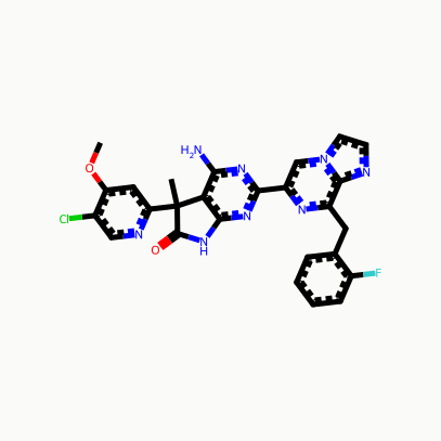 COc1cc(C2(C)C(=O)Nc3nc(-c4cn5ccnc5c(Cc5ccccc5F)n4)nc(N)c32)ncc1Cl